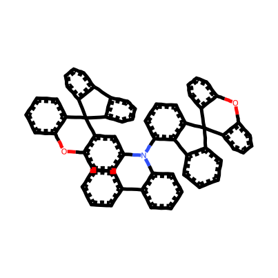 c1ccc(-c2ccccc2N(c2ccc3c(c2)C2(c4ccccc4O3)c3ccccc3-c3ccccc32)c2cccc3c2-c2ccccc2C32c3ccccc3Oc3ccccc32)cc1